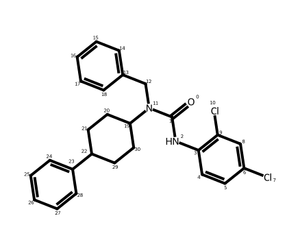 O=C(Nc1ccc(Cl)cc1Cl)N(Cc1ccccc1)C1CCC(c2ccccc2)CC1